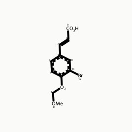 COCOc1ccc(C=CC(=O)O)cc1Br